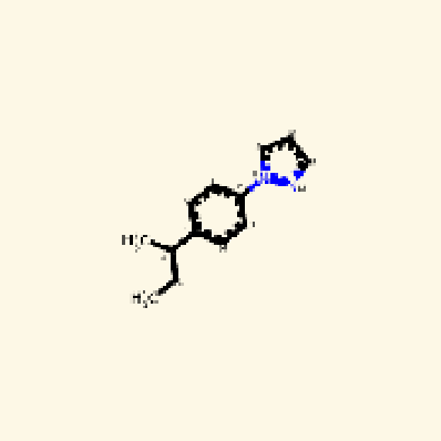 CCC(C)c1ccc(-n2cccn2)cc1